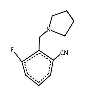 N#Cc1cccc(F)c1CN1CCCC1